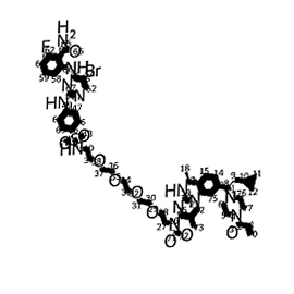 C=CC(=O)N1CCN([C@@H](CC2CC2)c2ccc([C@H](C)Nc3ncc4c(n3)N(CCOCCOCCOCCOCCNS(=O)(=O)c3ccc(Nc5ncc(Br)c(Nc6cccc(F)c6C(N)=O)n5)cc3)C(=O)OC4)cc2)CC1